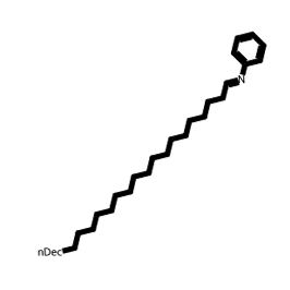 CCCCCCCCCCCCCCCCCCCCCCCCCCCC=Nc1ccccc1